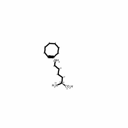 C1#CCCCCCC1.NCCCC[C@H](N)C(=O)O